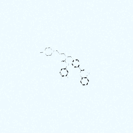 CN1CCN(CCCN(Cc2ccc(C(=O)Nc3ccccc3N)nc2)C(=O)Nc2ccc(F)c(F)c2)CC1